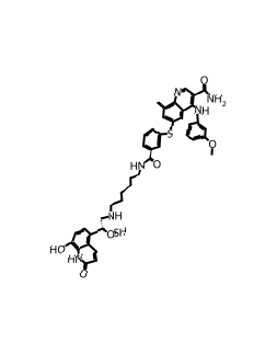 COc1cccc(Nc2c(C(N)=O)cnc3c(C)cc(Sc4cccc(C(=O)NCCCCCCNC[C@H](OS)c5ccc(O)c6[nH]c(=O)ccc56)c4)cc23)c1